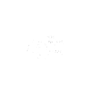 C[C@H](CN)N(C)C(=O)c1ccccc1-c1ccccc1